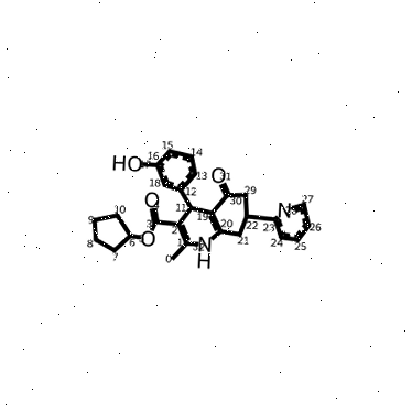 CC1=C(C(=O)OC2CCCC2)C(c2cccc(O)c2)C2=C(CC(c3ccccn3)CC2=O)N1